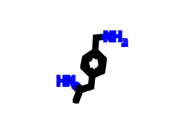 CC(=N)Cc1ccc(CN)cc1